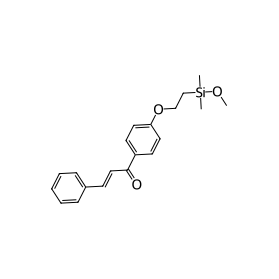 CO[Si](C)(C)CCOc1ccc(C(=O)/C=C/c2ccccc2)cc1